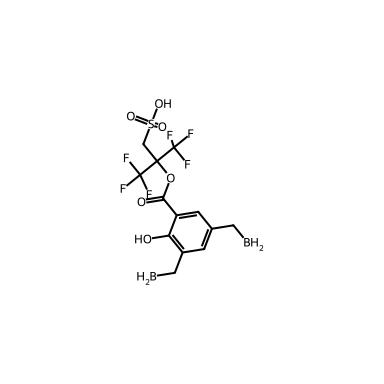 BCc1cc(CB)c(O)c(C(=O)OC(CS(=O)(=O)O)(C(F)(F)F)C(F)(F)F)c1